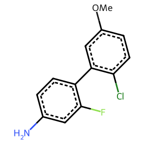 COc1ccc(Cl)c(-c2ccc(N)cc2F)c1